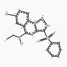 CCN(CI)c1nc2c(S(=O)(=O)c3ccccc3)nnn2c2ccc(Cl)cc12